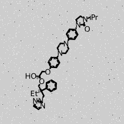 CC[C@@](CO[C@@H](O)COc1ccc(N2CCN(c3ccc(N4CCN(C(C)C)C4=O)cc3)CC2)cc1)(Cn1nccn1)c1ccccc1